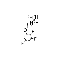 [2H]C([2H])([2H])N1CC(Oc2cc(F)cc(F)c2F)C1